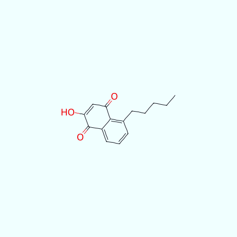 CCCCCc1cccc2c1C(=O)C=C(O)C2=O